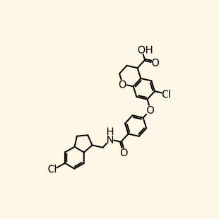 O=C(NCC1CCC2C=C(Cl)C=CC21)c1ccc(Oc2cc3c(cc2Cl)C(C(=O)O)CCO3)cc1